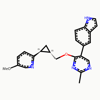 COc1ccc([C@H]2C[C@@H]2COc2nc(C)ncc2-c2ccc3[nH]ccc3c2)nc1